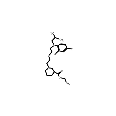 CCOC(=O)C1CCCN(CCOCCN(CC(C)C)c2ccc(F)cc2Cl)C1